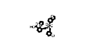 O=C(O)c1cccc(C#CN(Cc2ccccc2)S(=O)(=O)c2ccc3occc3c2)c1-n1cccc1.[Li]